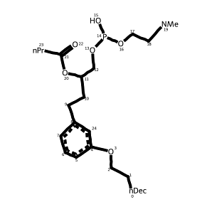 CCCCCCCCCCCCOc1cccc(CCC(COP(O)OCCNC)OC(=O)CCC)c1